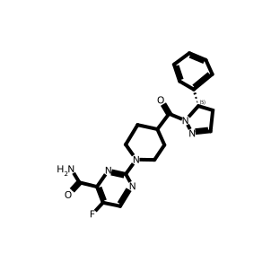 NC(=O)c1nc(N2CCC(C(=O)N3N=CC[C@H]3c3ccccc3)CC2)ncc1F